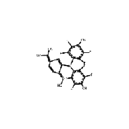 N#C/N=C1\C=CC(=C(C#N)C#N)C=C1N(c1c(F)c(F)c(C#N)c(F)c1F)c1c(F)c(F)c(C#N)c(F)c1F